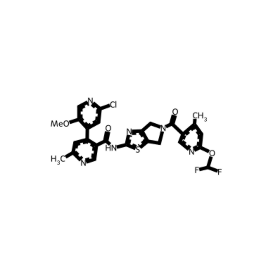 COc1cnc(Cl)cc1-c1cc(C)ncc1C(=O)Nc1nc2c(s1)CN(C(=O)c1cnc(OC(F)F)cc1C)C2